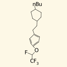 CCCCC1CCC(CCc2ccc(OC(F)C(F)(F)F)cc2)CC1